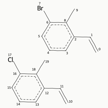 C=Cc1cccc(Br)c1C.C=Cc1cccc(Cl)c1C